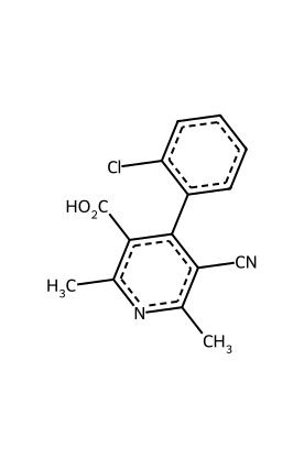 Cc1nc(C)c(C(=O)O)c(-c2ccccc2Cl)c1C#N